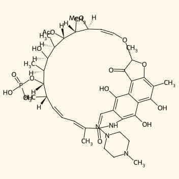 CO[C@H]1/C=C\O[C@@]2(C)Oc3c(C)c(O)c4c(O)c(c(/C=N\N5CCN(C)CC5)c(O)c4c3C2=O)NC(=O)/C(C)=C/C=C\[C@H](C)[C@H](OP(=O)(O)O)[C@@H](C)[C@@H](O)[C@@H](C)[C@H](OC(C)=O)[C@@H]1C